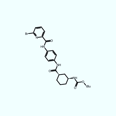 CC(C)(C)OC(=O)N[C@H]1CCC[C@@H](C(=O)Nc2ccc(NC(=O)c3cccc(Br)n3)cc2)C1